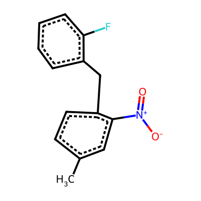 Cc1ccc(Cc2ccccc2F)c([N+](=O)[O-])c1